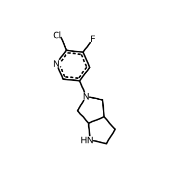 Fc1cc(N2CC3CCNC3C2)cnc1Cl